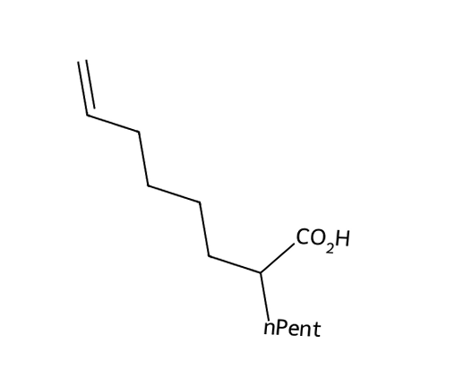 C=CCCCCC(CCCCC)C(=O)O